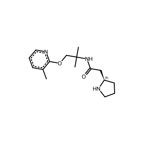 Cc1cccnc1OCC(C)(C)NC(=O)C[C@H]1CCCN1